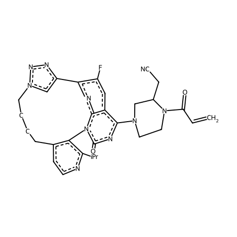 C=CC(=O)N1CCN(c2nc(=O)n3c4nc(c(F)cc24)-c2cn(nn2)CCCCc2ccnc(C(C)C)c2-3)CC1CC#N